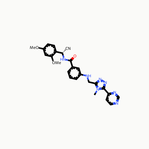 COc1ccc([C@H](C#N)NC(=O)c2cccc(NCc3nnc(-c4ccncn4)n3C)c2)c(OC)c1